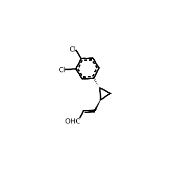 O=CC=C[C@@H]1C[C@H]1c1ccc(Cl)c(Cl)c1